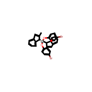 CC1=Cc2ccccc2[CH]1[Zr]([O]c1ccc(Br)cc1)([O]c1ccc(Br)cc1)[CH]1C(C)=Cc2ccccc21